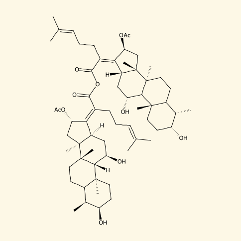 CC(=O)O[C@H]1C[C@@]2(C)[C@H](C[C@@H](O)C3[C@@]4(C)CC[C@@H](O)[C@@H](C)C4CC[C@@]32C)C1=C(CCC=C(C)C)C(=O)OC(=O)C(CCC=C(C)C)=C1[C@@H](OC(C)=O)C[C@@]2(C)[C@@H]1C[C@@H](O)[C@@H]1[C@@]3(C)CC[C@@H](O)[C@@H](C)C3CC[C@@]12C